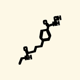 CCNC(=O)CCCc1ccc(C(=O)NO)cc1